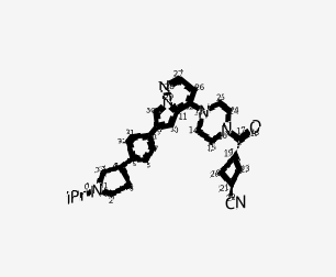 CC(C)N1CCC(c2ccc(-c3cc4c(N5CCN(C(=O)[C@H]6C[C@H](C#N)C6)CC5)ccnn4c3)cc2)C1